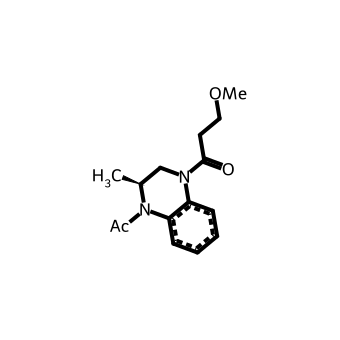 COCCC(=O)N1C[C@H](C)N(C(C)=O)c2ccccc21